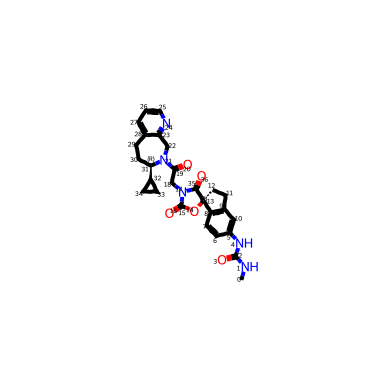 CNC(=O)Nc1ccc2c(c1)CC[C@@]21OC(=O)N(CC(=O)N2Cc3ncccc3CC[C@@H]2C2CC2)C1=O